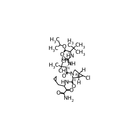 CC(C)OC(=O)[C@@H](NC(=O)N[C@H](C(=O)N1C[C@@H]2C(Cl)[C@@H]2[C@H]1C(=O)NC(CC1CC1)C(=O)C(N)=O)C(C)(C)C)C(C)(C)C